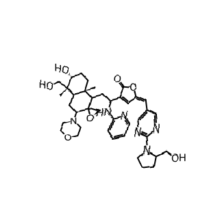 C[C@]12CC[C@@H](O)[C@@](C)(CO)C1CC(N1CCOCC1)C1(CO1)C2CC(Nc1ccccn1)C1=C/C(=C\c2cnc(N3CCCC3CO)nc2)OC1=O